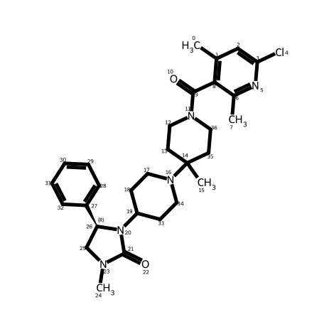 Cc1cc(Cl)nc(C)c1C(=O)N1CCC(C)(N2CCC(N3C(=O)N(C)C[C@H]3c3ccccc3)CC2)CC1